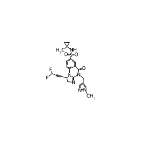 Cn1cc(CN2C(=O)c3cc(S(=O)(=O)NC4(C)CC4)ccc3N3C2=NCC3C#CC(F)F)cn1